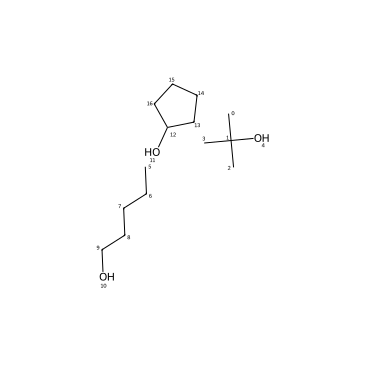 CC(C)(C)O.CCCCCO.OC1CCCC1